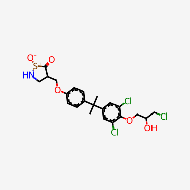 CC(C)(c1ccc(OCC2CN[S+]([O-])C2=O)cc1)c1cc(Cl)c(OCC(O)CCl)c(Cl)c1